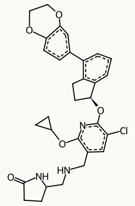 O=C1CCC(CNCc2cc(Cl)c(O[C@H]3CCc4c(-c5ccc6c(c5)OCCO6)cccc43)nc2OC2CC2)N1